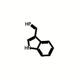 P=Cc1c[nH]c2ccccc12